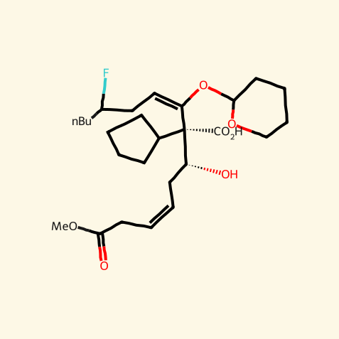 CCCCC(F)C/C=C(/OC1CCCCO1)[C@](C(=O)O)(C1CCCC1)[C@H](O)C/C=C\CC(=O)OC